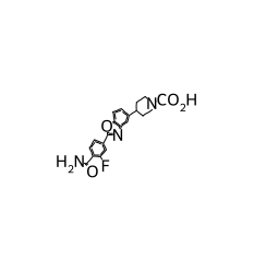 NC(=O)c1ccc(-c2nc3cc(C4CCN(C(=O)O)CC4)ccc3o2)cc1F